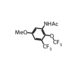 COc1cc(NC(C)=O)c(OC(F)(F)F)c(C(F)(F)F)c1